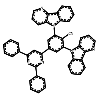 N#Cc1c(-n2c3ccccc3c3ncccc32)cc(-c2cc(-c3ccccc3)nc(-c3ccccc3)n2)cc1-n1c2ccccc2c2ncccc21